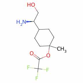 CC1(OC(=O)C(F)(F)F)CCC([C@@H](N)CO)CC1